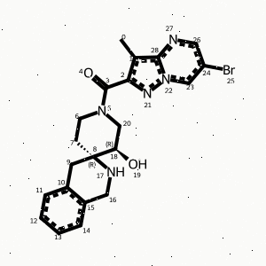 Cc1c(C(=O)N2CC[C@]3(Cc4ccccc4CN3)[C@H](O)C2)nn2cc(Br)cnc12